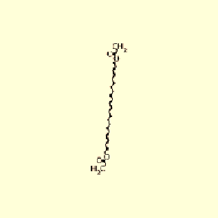 C=CC(=O)OCCCCCCCCCCCCCCCCCCCCCCCOC(=O)C=C